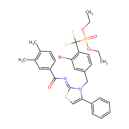 CCOP(=O)(OCC)C(F)(F)c1ccc(Cn2c(-c3ccccc3)cs/c2=N\C(=O)c2ccc(C)c(C)c2)cc1Br